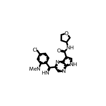 CNc1cc(Cl)ccc1C(=N)c1cnc2[nH]cc(C(=O)NC3CCOC3)c2n1